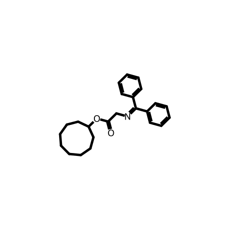 O=C(CN=C(c1ccccc1)c1ccccc1)OC1CCCCCCCC1